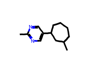 Cc1ncc(C2CCCCC(C)C2)cn1